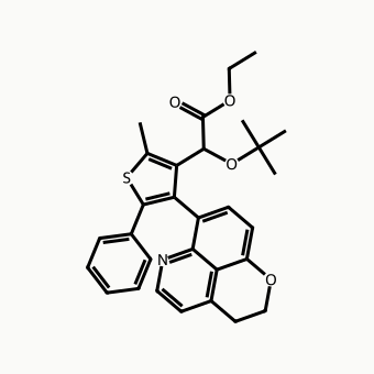 CCOC(=O)C(OC(C)(C)C)c1c(C)sc(-c2ccccc2)c1-c1ccc2c3c(ccnc13)CCO2